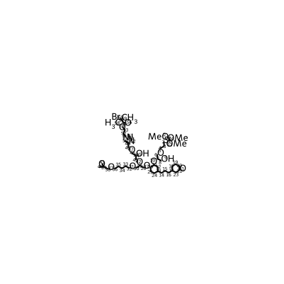 CO[Si](CCCOCC(CO)OC1CC(CCCC2CCC3OC3C2)CCC1OCC(COCCCCCOCC1CO1)OCC(O)COCc1cn(CCOC(=O)C(C)(C)Br)nn1)(OC)OC